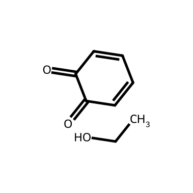 CCO.O=C1C=CC=CC1=O